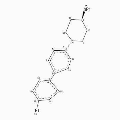 CCC[C@H]1CC[C@H](c2ccc(-c3ccc(CC)cc3)cc2)CC1